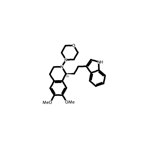 COc1cc2c(cc1OC)[C@H](CCc1c[nH]c3ccccc13)N(N1CCOCC1)CC2